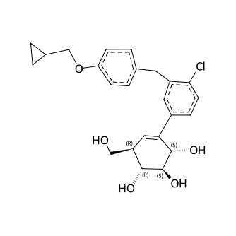 OC[C@H]1C=C(c2ccc(Cl)c(Cc3ccc(OCC4CC4)cc3)c2)[C@H](O)[C@@H](O)[C@@H]1O